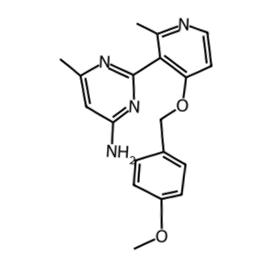 COc1ccc(COc2ccnc(C)c2-c2nc(C)cc(N)n2)cc1